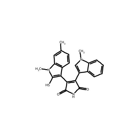 Cc1ccc2c(C3=C(c4cn(C)c5ccccc45)C(=O)NC3=O)c(S)n(C)c2c1